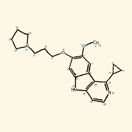 COc1cc2c(cc1OCCCN1CCCC1)[nH]c1ccnc(C3CC3)c12